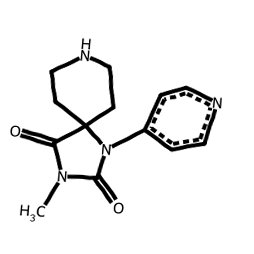 CN1C(=O)N(c2ccncc2)C2(CCNCC2)C1=O